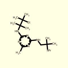 CCCC(C)(C)CNc1nc(C)nc(NC(C)(C)C(C)(C)CC)n1